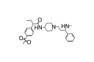 CCC(C(=O)NC1CCN(CCC(NC)c2ccccc2)CC1)c1ccc(S(C)(=O)=O)cc1